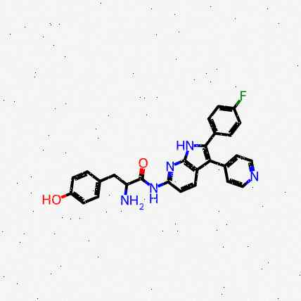 NC(Cc1ccc(O)cc1)C(=O)Nc1ccc2c(-c3ccncc3)c(-c3ccc(F)cc3)[nH]c2n1